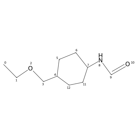 CCOCC1CCC(NC=O)CC1